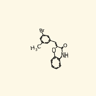 Cc1cc(Br)cc(/C=C2\Oc3ccccc3NC2=O)c1